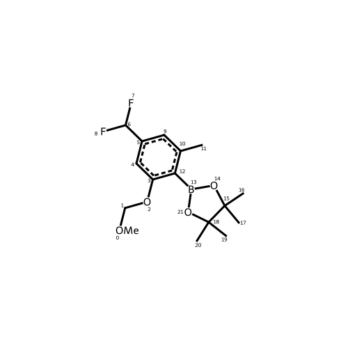 COCOc1cc(C(F)F)cc(C)c1B1OC(C)(C)C(C)(C)O1